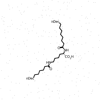 CCCCCCCCCCCCCCCCCC(=O)N[C@@H](CCCCNC(=O)CCCCCCCCCCCCCCC)C(=O)O